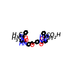 CC(C)N(C(=O)O)[C@@H](C(=O)N1CCC[C@H]1C(=O)Nc1ccc(-c2cc3cc(NC(=O)[C@@H]4CCCN4C(=O)[C@@H](c4ccccc4)N(C)C)ccc3o2)cc1)c1ccccc1